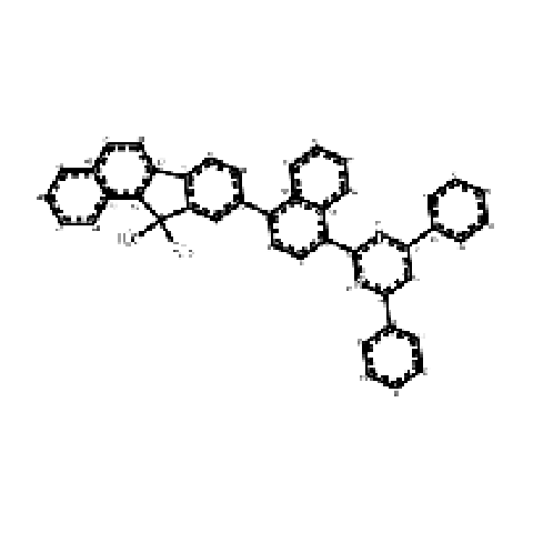 CC1(C)c2cc(-c3ccc(-c4nc(-c5ccccc5)cc(-c5ccccc5)n4)c4ccccc34)ccc2-c2ccc3ccccc3c21